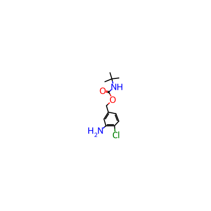 CC(C)(C)NC(=O)OCc1ccc(Cl)c(N)c1